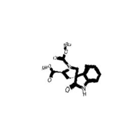 COC(=O)[C@@H]1C[C@@]2(CN1C(=O)OC(C)(C)C)C(=O)Nc1ccccc12